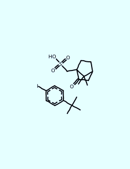 CC(C)(C)c1ccc(I)cc1.CC1(C)C2CCC1(CS(=O)(=O)O)C(=O)C2